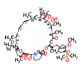 [2H]C([2H])([2H])O[C@H]1C[C@@H]2CC[C@@H](C)[C@@](O)(O2)C(=O)C(=O)N2CCCC[C@H]2C(=O)O[C@H]([C@H](C)C[C@@H]2CC[C@@H](OP(C)(C)=O)[C@H](OC)C2)CC(=O)[C@H](C)/C=C(\C)[C@@H](O)[C@@H](OC)C(=O)[C@H](C)C[C@H](C)/C=C/C=C/C=C/1C